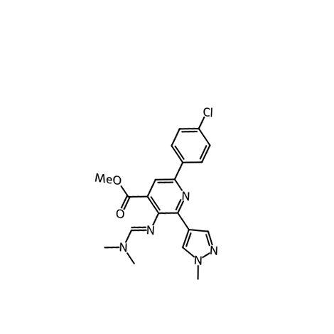 COC(=O)c1cc(-c2ccc(Cl)cc2)nc(-c2cnn(C)c2)c1N=CN(C)C